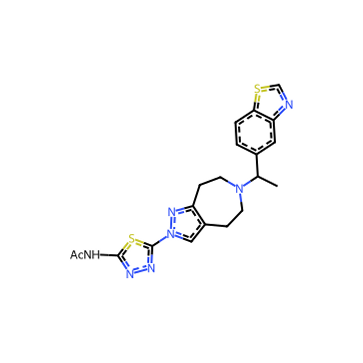 CC(=O)Nc1nnc(-n2cc3c(n2)CCN(C(C)c2ccc4scnc4c2)CC3)s1